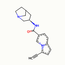 C#Cc1ccc2ccc(C(=O)N[C@@H]3CC4CCN(C4)C3)cn12